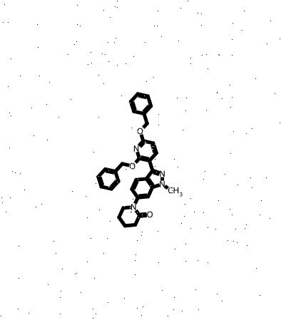 Cn1nc(-c2ccc(OCc3ccccc3)nc2OCc2ccccc2)c2ccc(N3CCCCC3=O)cc21